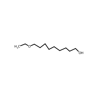 CCOCCCCCCCCCO